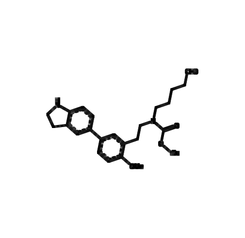 COc1ccc(-c2ccc3c(c2)CCN3)cc1CCN(CCCCC=O)C(=O)OC(C)(C)C